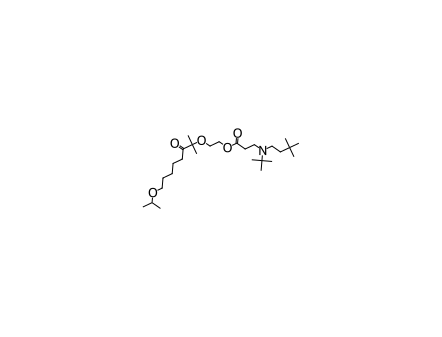 CC(C)OCCCCCC(=O)C(C)(C)OCCOC(=O)CCN(CCC(C)(C)C)C(C)(C)C